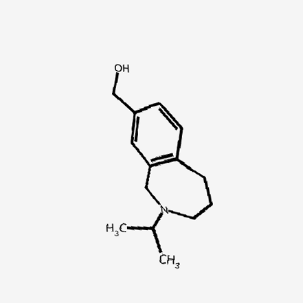 CC(C)N1CCCc2ccc(CO)cc2C1